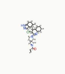 C=CC(=O)N1CC2(CCN(c3nc4ccccc4c(-c4c(C)ccc5[nH]ncc45)c3Cl)C2)C1